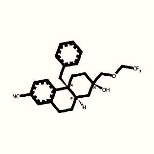 N#Cc1ccc2c(c1)CC[C@@H]1C[C@@](O)(COCC(F)(F)F)CC[C@@]21Cc1ccccc1